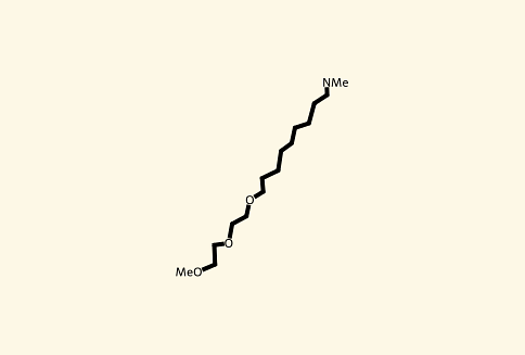 CNCCCCCCCCCOCCOCCOC